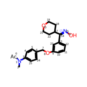 CC(=O)N(C)c1ccc(COc2cccc(/C(=N\O)C3CCOCC3)c2)cc1